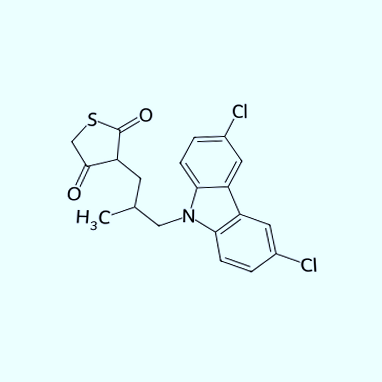 CC(CC1C(=O)CSC1=O)Cn1c2ccc(Cl)cc2c2cc(Cl)ccc21